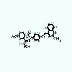 CC(=O)N1CC[C@H](C(=O)Nc2ccc(OCc3cc(C)nc4ccccc34)cc2)[C@@H](C(=O)NO)C1